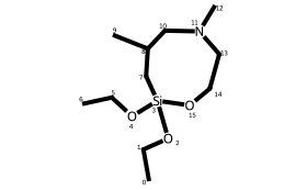 CCO[Si]1(OCC)CC(C)CN(C)CCO1